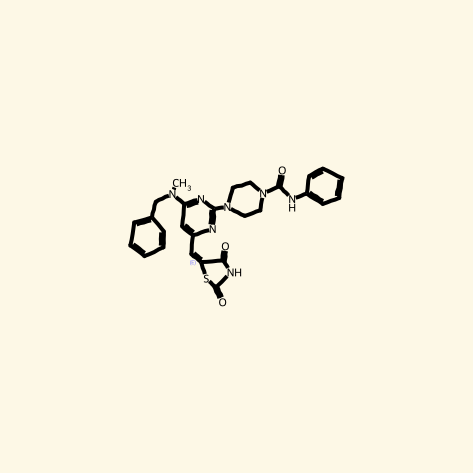 CN(Cc1ccccc1)c1cc(/C=C2/SC(=O)NC2=O)nc(N2CCN(C(=O)Nc3ccccc3)CC2)n1